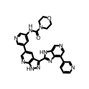 O=C(Nc1cncc(-c2cnc3[nH]nc(-c4nc5c(-c6cccnc6)cncc5[nH]4)c3c2)c1)N1CCOCC1